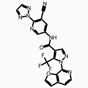 N#Cc1cc(NC(=O)c2cnn(-c3nccc4ccoc34)c2C(F)(F)F)cnc1-n1nccn1